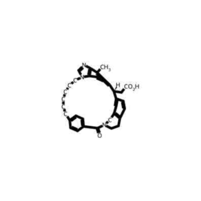 Cc1c2ccc3c1ncn3CCCCCCc1ccc(cc1)C(=O)N1CCc3ccc(cc3C1)[C@@H]2CC(=O)O